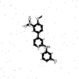 COc1ccc(-c2ccnc(Nc3cccc(Cl)c3)c2)cc1[N+](=O)[O-]